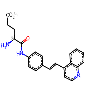 N[C@@H](CCC(=O)O)C(=O)Nc1ccc(C=Cc2ccnc3ccccc23)cc1